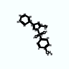 Cc1ccc(S(=O)(=O)n2cc(-c3cccnc3)cc2Br)cc1